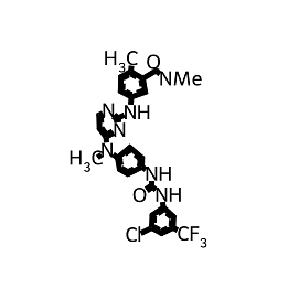 CNC(=O)c1cc(Nc2nccc(N(C)c3ccc(NC(=O)Nc4cc(Cl)cc(C(F)(F)F)c4)cc3)n2)ccc1C